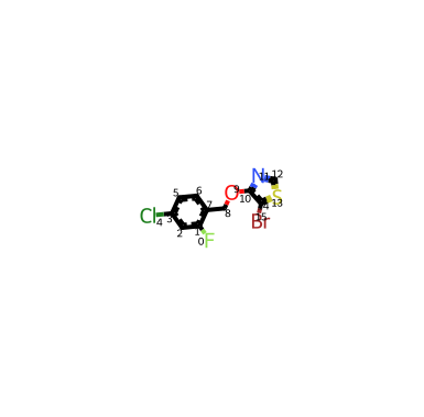 Fc1cc(Cl)ccc1COc1ncsc1Br